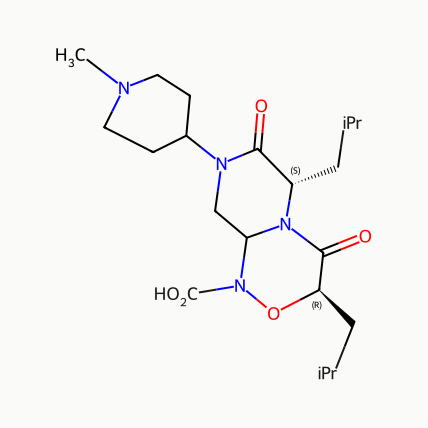 CC(C)C[C@H]1ON(C(=O)O)C2CN(C3CCN(C)CC3)C(=O)[C@H](CC(C)C)N2C1=O